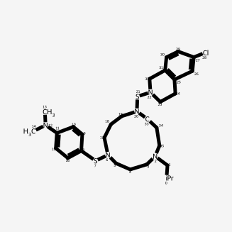 CC(C)CN1CCCN(Sc2ccc(N(C)C)cc2)CCCN(SN2CCc3cc(Cl)ccc3C2)CCC1